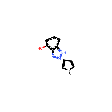 C1=C[SiH2]C=C1.Oc1cccc2[nH]nnc12